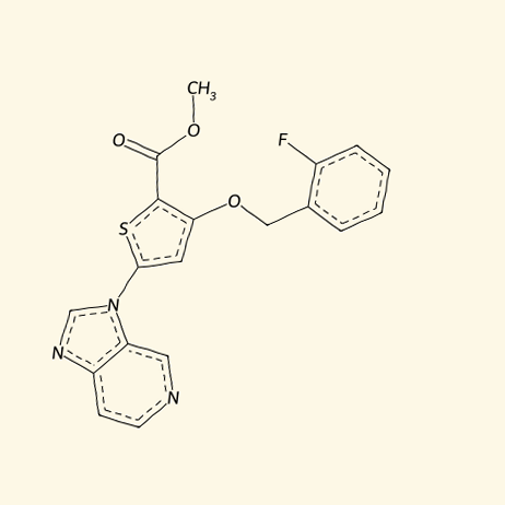 COC(=O)c1sc(-n2cnc3ccncc32)cc1OCc1ccccc1F